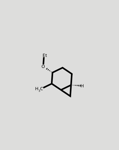 CCO[C@@H]1CC[C@H]2CC2C1C